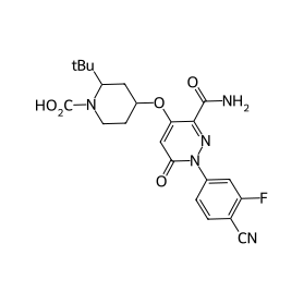 CC(C)(C)C1CC(Oc2cc(=O)n(-c3ccc(C#N)c(F)c3)nc2C(N)=O)CCN1C(=O)O